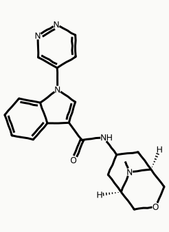 CN1[C@@H]2COC[C@H]1CC(NC(=O)c1cn(-c3ccnnc3)c3ccccc13)C2